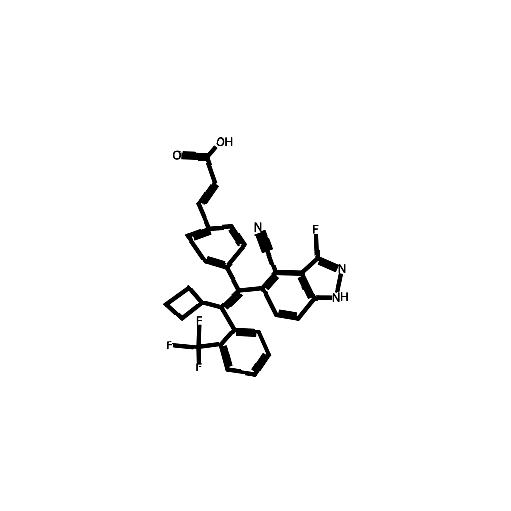 N#Cc1c(C(=C(c2ccccc2C(F)(F)F)C2CCC2)c2ccc(C=CC(=O)O)cc2)ccc2[nH]nc(F)c12